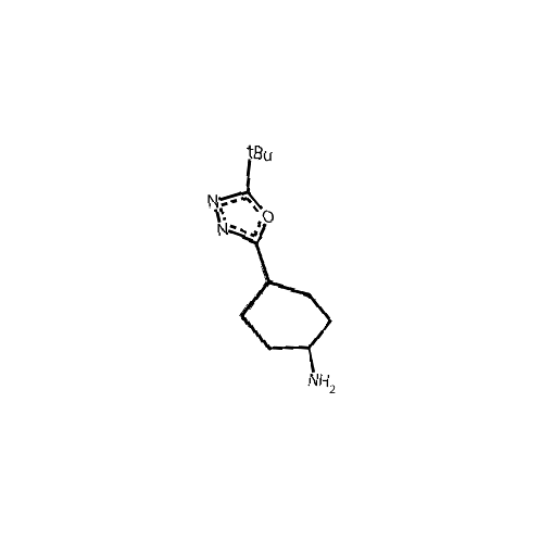 CC(C)(C)c1nnc(C2CCC(N)CC2)o1